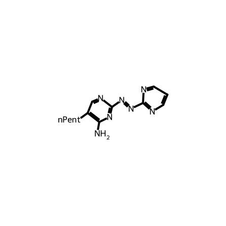 CCCCCc1cnc(N=Nc2ncccn2)nc1N